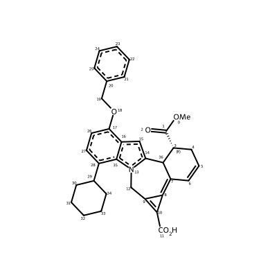 COC(=O)[C@@H]1CC=CC2=C3C(=C3C(=O)O)Cn3c(cc4c(OCc5ccccc5)ccc(C5CCCCC5)c43)C21